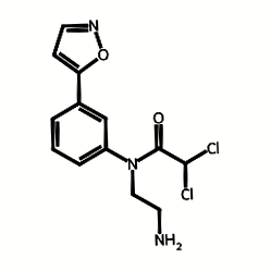 NCCN(C(=O)C(Cl)Cl)c1cccc(-c2ccno2)c1